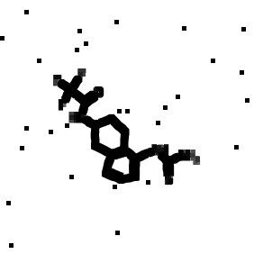 NC(=S)Nc1cccc2c1CCC(NC(=O)C(F)(F)F)C2